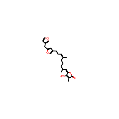 CC(=CCCc1coc(Cc2ccoc2)c1)CCCC(C)C=C1OC(=O)C(C)=C1O